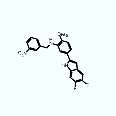 COc1ccc(-c2cc3cc(F)c(F)cc3[nH]2)cc1NCc1cccc([N+](=O)[O-])c1